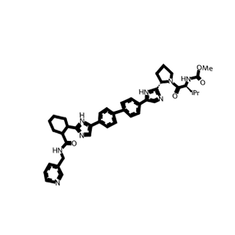 COC(=O)N[C@H](C(=O)N1CCC[C@H]1c1ncc(-c2ccc(-c3ccc(-c4cnc(C5CCCCC5C(=O)NCc5cccnc5)[nH]4)cc3)cc2)[nH]1)C(C)C